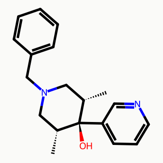 C[C@@H]1CN(Cc2ccccc2)C[C@H](C)[C@]1(O)c1cccnc1